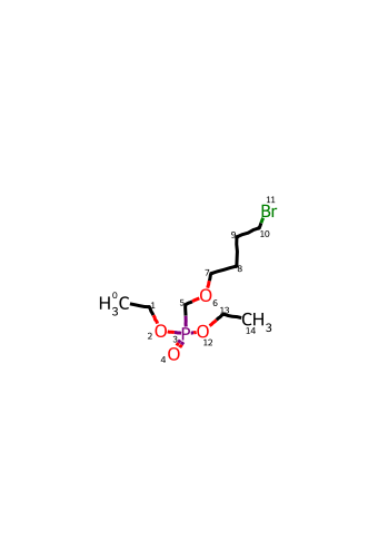 CCOP(=O)(COCCCCBr)OCC